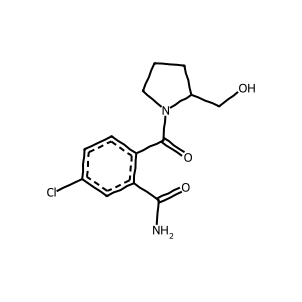 NC(=O)c1cc(Cl)ccc1C(=O)N1CCCC1CO